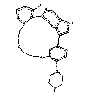 CN1CCN(c2ccc3cc2OCCOCCc2cccc(F)c2-c2cc4c-3n[nH]c4cn2)CC1